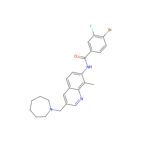 Cc1c(NC(=O)c2ccc(Br)c(F)c2)ccc2cc(CN3CCCCCC3)cnc12